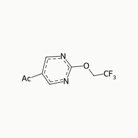 CC(=O)c1cnc(OCC(F)(F)F)nc1